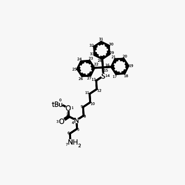 CC(C)(C)OC(=O)N(CCN)CCCCCCSC(c1ccccc1)(c1ccccc1)c1ccccc1